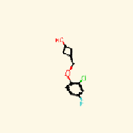 OC1CC(COc2ccc(F)cc2Cl)C1